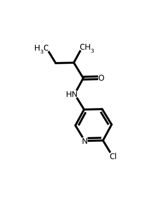 CCC(C)C(=O)Nc1ccc(Cl)nc1